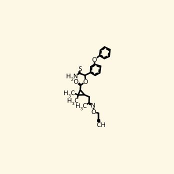 C#CCO/N=C(\C)CC1C(C(=O)OC(C(N)=S)c2cccc(Oc3ccccc3)c2)C1(C)C